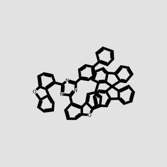 c1ccc(-c2ccc(-c3nc(-c4cccc5oc6ccccc6c45)nc(-c4cccc5oc6ccc(-c7cccc8c7C7(c9ccccc9-c9ccccc97)c7ccccc7-8)cc6c45)n3)cc2)cc1